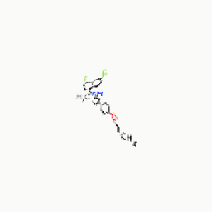 CCCCOc1ccc([C@@H]2CC[C@H](N[C@H](C)C3=C4C=CC(F)CC4C(F)C=C3)C2)cc1